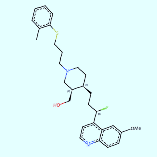 COc1ccc2nccc([C@H](F)CC[C@@H]3CCN(CCCSc4ccccc4C)C[C@@H]3CO)c2c1